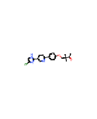 CC(=O)C(C)(C)COc1ccc(-c2ccc(-c3nc(Cl)c[nH]3)cn2)cc1